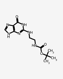 CC(C)(C)OC(=O)NCCNc1nc2[nH]cnc2c(=O)[nH]1